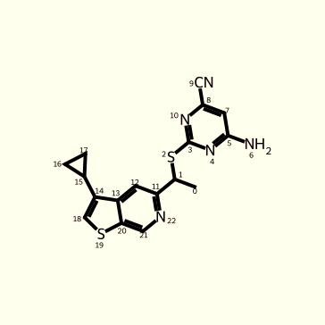 CC(Sc1nc(N)cc(C#N)n1)c1cc2c(C3CC3)csc2cn1